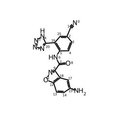 N#Cc1ccc(NC(=O)c2noc3ccc(N)cc23)c(-c2nnn[nH]2)c1